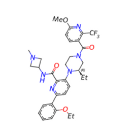 CCOc1ccccc1-c1ccc(N2CCN(C(=O)c3ccc(OC)nc3C(F)(F)F)C[C@H]2CC)c(C(=O)NC2CN(C)C2)n1